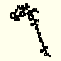 C=CC(=O)NCCOCCOCCOCC(=O)Nc1ccc2c([C@H]3CN([C@H]4CCc5cccc(F)c54)C[C@@H]3N(C)C)cn(C)c2c1